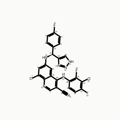 N#Cc1cnc2c(Cl)cc(N[C@@H](c3ccc(F)cc3)c3c[nH]nn3)cc2c1Nc1ccc(F)c(Cl)c1F